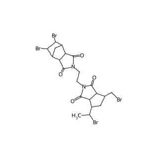 CC(Br)C1CC(CBr)C2C(=O)N(CCN3C(=O)C4C5CC(C(Br)C5Br)C4C3=O)C(=O)C12